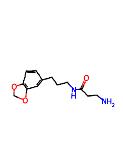 NCCC(=O)NCCCc1ccc2c(c1)OCO2